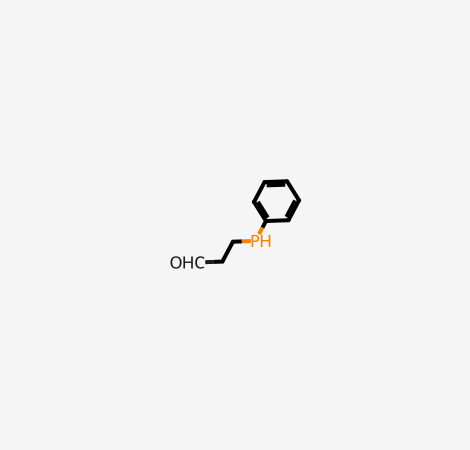 O=CCCPc1ccccc1